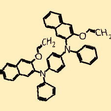 C=COc1cc2ccccc2cc1N(c1ccccc1)c1ccc(N(c2ccccc2)c2cc3ccccc3cc2OC=C)cc1